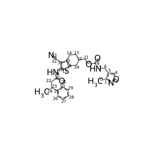 Cc1nocc1CNC(=O)OCC1CCc2c(sc(NC(=O)CC(C)c3ccccc3)c2C#N)C1